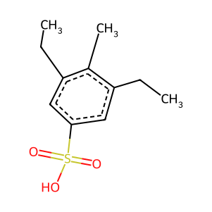 CCc1cc(S(=O)(=O)O)cc(CC)c1C